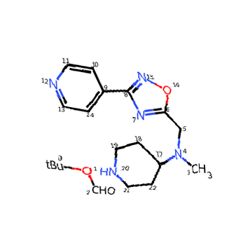 CC(C)(C)OC=O.CN(Cc1nc(-c2ccncc2)no1)C1CCNCC1